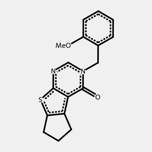 COc1ccccc1Cn1cnc2sc3c(c2c1=O)CCC3